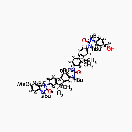 CCCCN(C(=O)N(CCCC)c1ccc2c(c1)C(C)(C)c1cc(N(CCCC)C(=O)N(CCCC)c3ccc4c(c3)C(C)(C)c3cc(N(CCCC)C(=O)N(CCCC)c5ccc(OC)cc5)ccc3-4)ccc1-2)c1ccc(CO)cc1